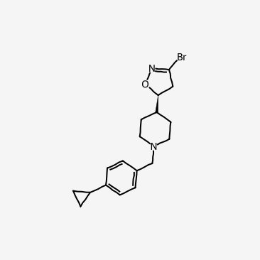 BrC1=NO[C@H](C2CCN(Cc3ccc(C4CC4)cc3)CC2)C1